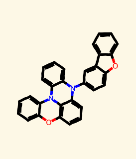 c1ccc2c(c1)Oc1cccc3c1N2c1ccccc1N3c1ccc2oc3ccccc3c2c1